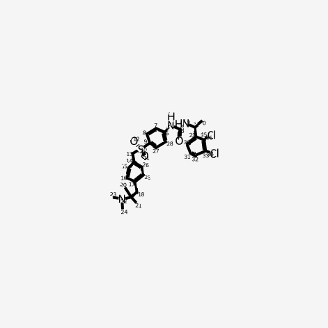 CC(NC(=O)Nc1ccc(S(=O)(=O)Cc2ccc(CC(C)(C)N(C)C)cc2)cc1)c1cccc(Cl)c1Cl